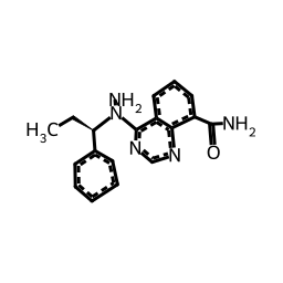 CC[C@H](c1ccccc1)N(N)c1ncnc2c(C(N)=O)cccc12